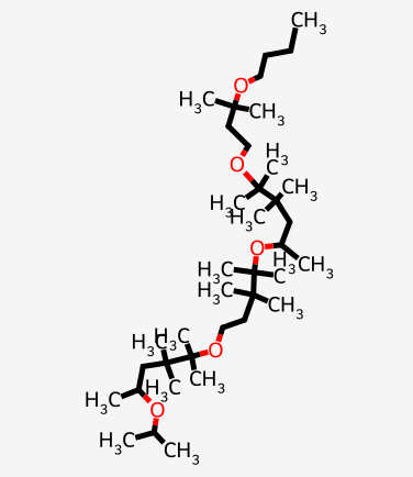 CCCCOC(C)(C)CCOC(C)(C)C(C)(C)CC(C)OC(C)(C)C(C)(C)CCOC(C)(C)C(C)(C)CC(C)OC(C)C